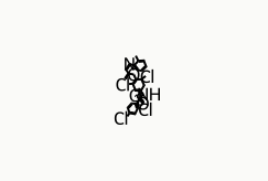 C=C(/C=N\c1ccccc1C)OC1=C(Cl)C=C(NS(=O)(=O)c2ccc(Cl)cc2Cl)CC1Cl